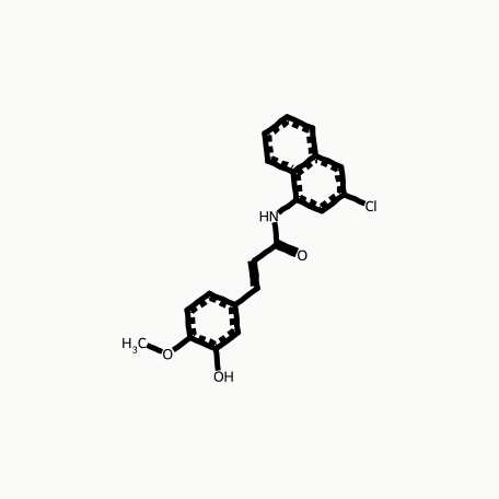 COc1ccc(C=CC(=O)Nc2cc(Cl)cc3ccccc23)cc1O